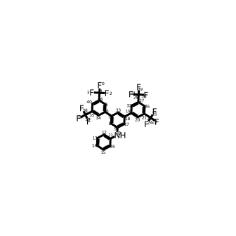 FC(F)(F)c1cc(-c2cc(Nc3ccccc3)cc(-c3cc(C(F)(F)F)cc(C(F)(F)F)c3)c2)cc(C(F)(F)F)c1